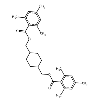 Cc1cc(C)c(C(=O)OCC2CCC(COC(=O)c3c(C)cc(C)cc3C)CC2)c(C)c1